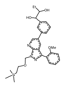 CCC(O)C(O)c1cccc(-c2cnc3c(c2)c(-c2ccccc2OC)nn3COCC[Si](C)(C)C)c1